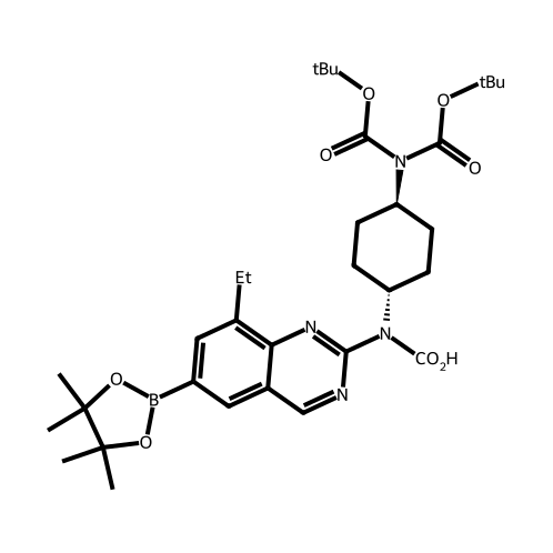 CCc1cc(B2OC(C)(C)C(C)(C)O2)cc2cnc(N(C(=O)O)[C@H]3CC[C@H](N(C(=O)OC(C)(C)C)C(=O)OC(C)(C)C)CC3)nc12